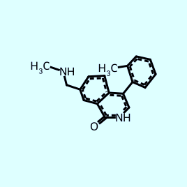 CNCc1ccc2c(-c3ccccc3C)c[nH]c(=O)c2c1